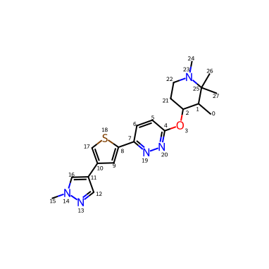 CC1C(Oc2ccc(-c3cc(-c4cnn(C)c4)cs3)nn2)CCN(C)C1(C)C